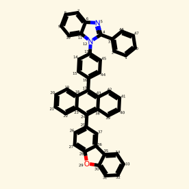 c1ccc(-c2nc3ccccc3n2-c2ccc(-c3c4ccccc4c(-c4ccc5oc6ccccc6c5c4)c4ccccc34)cc2)cc1